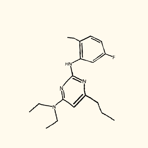 CCCc1cc(N(CC)CC)nc(Nc2cc(F)ccc2C)n1